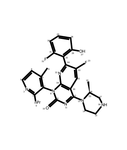 CCCc1nccc(C)c1-n1c(=O)nc(N2CCNC[C@@H]2C)c2cc(F)c(-c3c(O)cccc3F)nc21